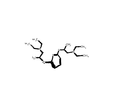 CCN(CC)CC(C)Oc1cccc(OC(C)CN(CC)CC)n1